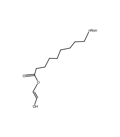 CCCCCCCCCCCCCCCCCC(=O)OC=CO